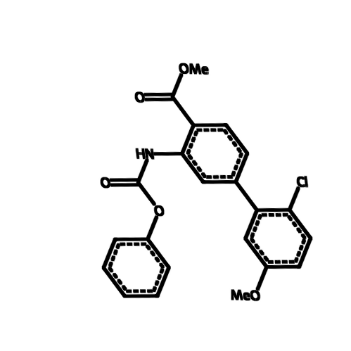 COC(=O)c1ccc(-c2cc(OC)ccc2Cl)cc1NC(=O)Oc1ccccc1